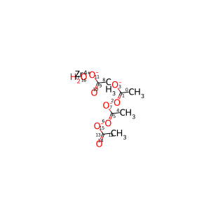 CC(=O)[O-].CC(=O)[O-].CC(=O)[O-].CC(=O)[O-].O.[Zr+4]